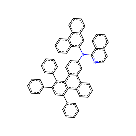 c1ccc(-c2cc(-c3ccccc3)c3c4ccccc4c4cc(N(c5nccc6ccccc56)c5cc6ccccc6c6ccccc56)ccc4c3c2-c2ccccc2)cc1